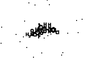 CC(C)C[C@H](NC(=O)c1nc2cc(Cl)ccc2[nH]1)C(=O)NN(CCC(N)=O)C(=O)C(F)Cl